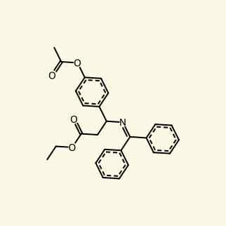 CCOC(=O)CC(N=C(c1ccccc1)c1ccccc1)c1ccc(OC(C)=O)cc1